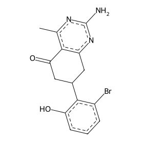 Cc1nc(N)nc2c1C(=O)CC(c1c(O)cccc1Br)C2